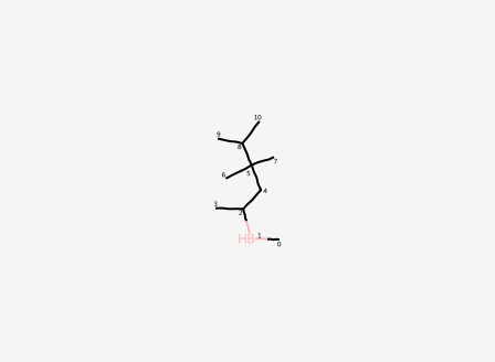 CBC(C)CC(C)(C)C(C)C